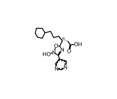 O=C(O)C[C@@H](CCCC1CCCCC1)C1N=C(c2cncnc2)N(O)O1